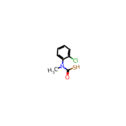 CN(C(=O)S)c1ccccc1Cl